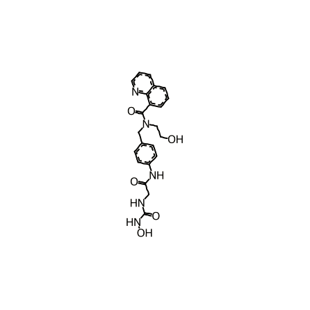 O=C(CNC(=O)NO)Nc1ccc(CN(CCO)C(=O)c2cccc3cccnc23)cc1